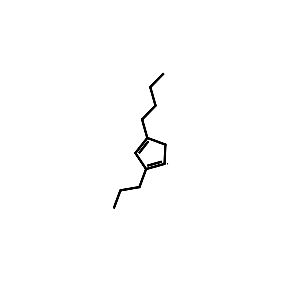 CCCCC1=CC(CCC)=[C]C1